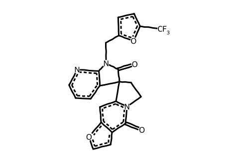 O=C1N(Cc2ccc(C(F)(F)F)o2)c2ncccc2C12CCn1c2cc2occc2c1=O